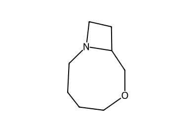 C1CCN2CCC2COC1